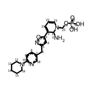 NC1C(c2cc(Cc3ccc(N4CCCCC4)nc3)no2)=CC=CN1COP(=O)(O)O